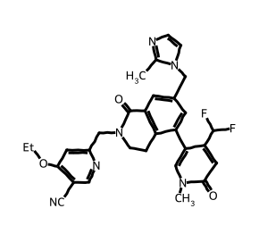 CCOc1cc(CN2CCc3c(cc(Cn4ccnc4C)cc3-c3cn(C)c(=O)cc3C(F)F)C2=O)ncc1C#N